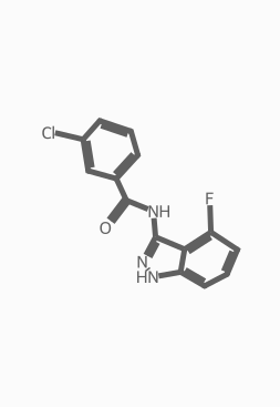 O=C(Nc1n[nH]c2cccc(F)c12)c1cccc(Cl)c1